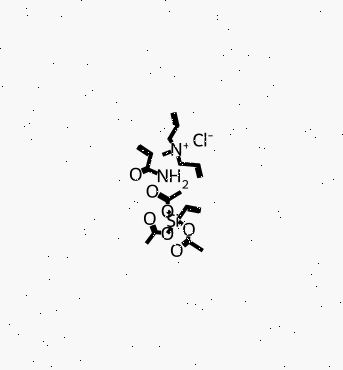 C=CC(N)=O.C=CC[N+](C)(C)CC=C.C=C[Si](OC(C)=O)(OC(C)=O)OC(C)=O.[Cl-]